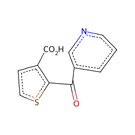 O=C(O)c1ccsc1C(=O)c1cccnc1